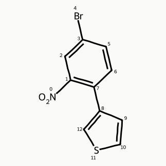 O=[N+]([O-])c1cc(Br)ccc1-c1ccsc1